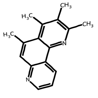 Cc1nc2c(c(C)cc3ncccc32)c(C)c1C